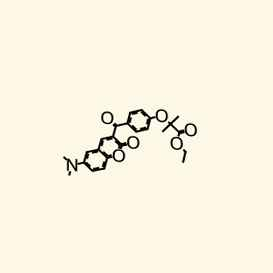 CCOC(=O)C(C)(C)Oc1ccc(C(=O)c2cc3cc(N(C)C)ccc3oc2=O)cc1